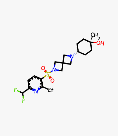 CCc1nc(C(F)F)ccc1S(=O)(=O)N1CC2(C1)CN([C@H]1CC[C@](C)(O)CC1)C2